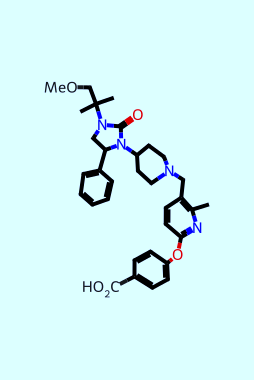 COCC(C)(C)N1CC(c2ccccc2)N(C2CCN(Cc3ccc(Oc4ccc(C(=O)O)cc4)nc3C)CC2)C1=O